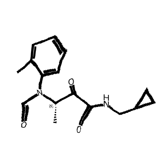 Cc1ccccc1N(C=O)[C@@H](C)C(=O)C(=O)NCC1CC1